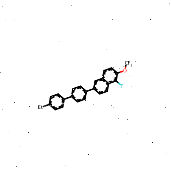 CCc1ccc(-c2ccc(-c3ccc4c(F)c(OC(F)(F)F)ccc4c3)cc2)cc1